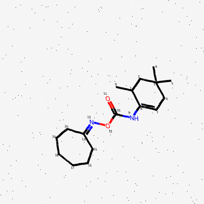 CC1CC(C)(C)CC=C1NC(=O)ON=C1CCCCCC1